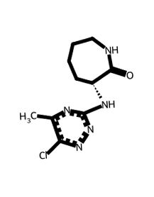 Cc1nc(N[C@@H]2CCCCNC2=O)nnc1Cl